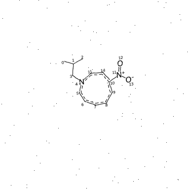 CC(C)Cn1cccccc([N+](=O)[O-])cc1